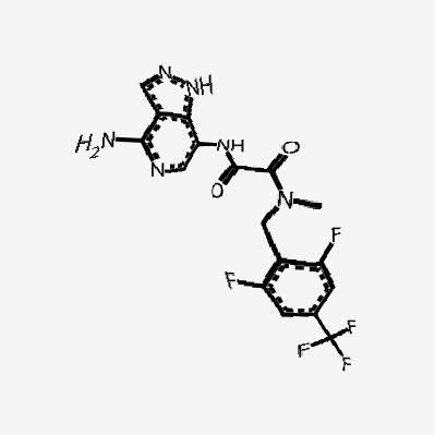 CN(Cc1c(F)cc(C(F)(F)F)cc1F)C(=O)C(=O)Nc1cnc(N)c2cn[nH]c12